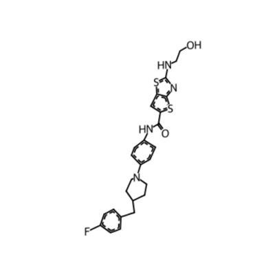 O=C(Nc1ccc(N2CCC(Cc3ccc(F)cc3)CC2)cc1)c1cc2sc(NCCO)nc2s1